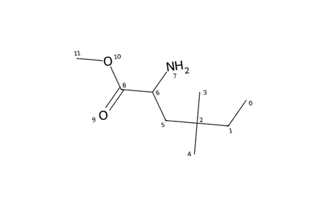 CCC(C)(C)CC(N)C(=O)OC